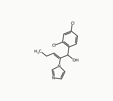 CCC=C(C(O)c1ccc(Cl)cc1Cl)n1ccnc1